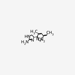 C=C(/C(C)=C\C(C)=C/C)[C@@H]1CNC(N)=N1